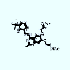 COCCOc1cc2nc(C)nc(NCc3cccc(C(C)(F)F)c3F)c2cc1OCCOC